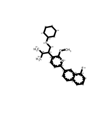 COc1nc(-c2ccc3cccc(F)c3c2)ccc1C(CSC1CCCCC1)C(C)C